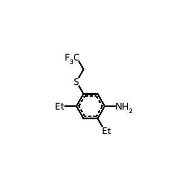 CCc1cc(CC)c(SCC(F)(F)F)cc1N